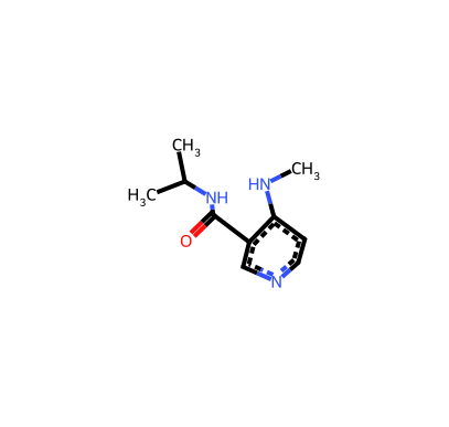 CNc1ccncc1C(=O)NC(C)C